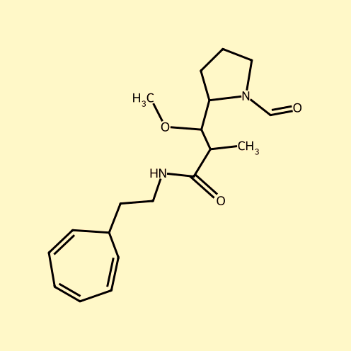 COC(C(C)C(=O)NCCC1C=CC=CC=C1)C1CCCN1C=O